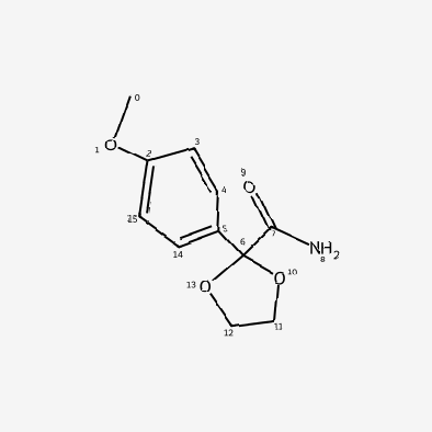 COc1ccc(C2(C(N)=O)OCCO2)cc1